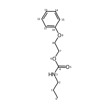 CCCNC(=O)OCCOc1ccccc1